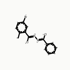 Cc1ccc(Br)cc1C(Cl)=NN=C(Cl)c1ccccc1